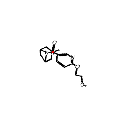 COCCOc1ccc(C(=O)N2C3CC2CN(C)C3)cn1